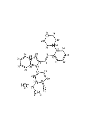 CC(C)n1nc(-c2c(C=Cc3ccccc3N3CCOCC3)nn3ccccc23)ccc1=O